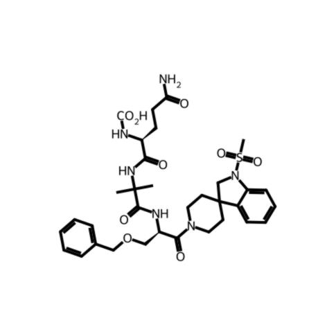 CC(C)(NC(=O)[C@H](CCC(N)=O)NC(=O)O)C(=O)N[C@H](COCc1ccccc1)C(=O)N1CCC2(CC1)CN(S(C)(=O)=O)c1ccccc12